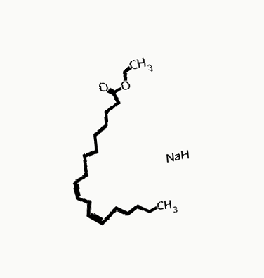 CCCCC/C=C\C/C=C\CCCCCCCC(=O)OCC.[NaH]